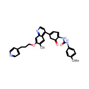 COc1ccc(NC(=O)NC2=CC=C(c3ccnc4cc(OCCCc5ccncc5)c(C#N)cc34)CC2=O)cc1